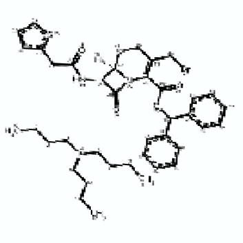 CCCCP(CCCC)CCCC.O=C(Cc1cccs1)N[C@@H]1C(=O)N2C(C(=O)OC(c3ccccc3)c3ccccc3)=C(CBr)CS[C@H]12